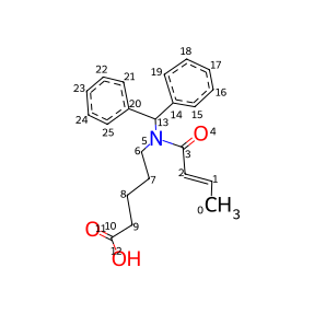 CC=CC(=O)N(CCCCC(=O)O)C(c1ccccc1)c1ccccc1